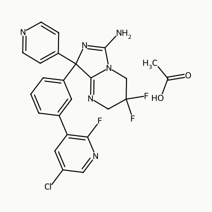 CC(=O)O.NC1=NC(c2ccncc2)(c2cccc(-c3cc(Cl)cnc3F)c2)C2=NCC(F)(F)CN12